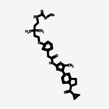 Cc1sc(NC(=O)Cc2cccc(OCCC(C)(C)CCNC(=O)OC(C)(C)C)c2)nc1-c1ccc2c(c1)CCN2C(=O)C1CC1